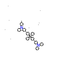 Cc1ccc(-n2c3ccccc3c3cc(-c4ccc([Si](c5ccccc5)(c5ccccc5)c5ccc(-c6ccc(N(c7ccccc7)c7ccccc7)cc6)cc5)cc4)ccc32)cc1